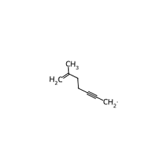 [CH2]C#CCCC(=C)C